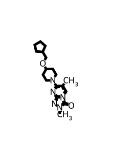 Cc1cn2c(=O)n(C)nc2nc1N1CCC(OCC2CCCC2)CC1